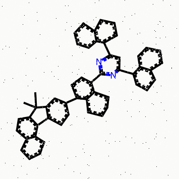 CC1(C)c2cc(-c3ccc(-c4nc(-c5cccc6ccccc56)cc(-c5cccc6ccccc56)n4)c4ccccc34)ccc2-c2c1ccc1ccccc21